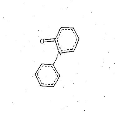 O=c1ccccn1-c1cc[c]cc1